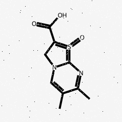 CC1=CN2CC(C(=O)O)=S(=O)=C2N=C1C